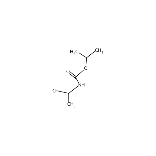 CC(Cl)NC(=O)OC(C)C